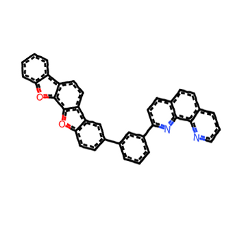 c1cc(-c2ccc3oc4c(ccc5c6ccccc6oc54)c3c2)cc(-c2ccc3ccc4cccnc4c3n2)c1